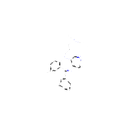 Cc1ccc2c(c1)C(c1ccccc1)=Nc1ccncc1N2CCCN(C)C